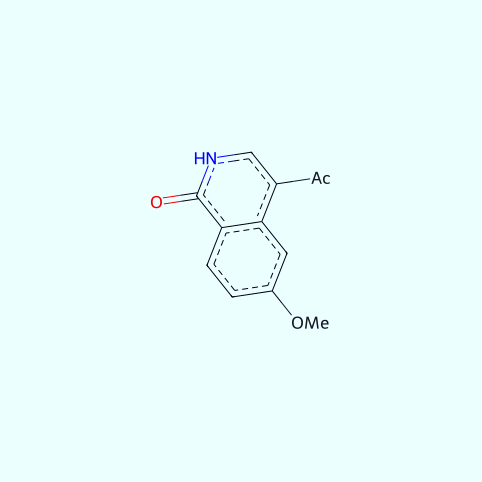 COc1ccc2c(=O)[nH]cc(C(C)=O)c2c1